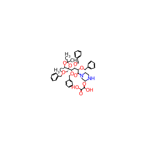 C[C@H]1OC(C)(C)O[C@@]1(COCc1ccccc1)[C@@H](OCc1ccccc1)[C@H](OCc1ccccc1)[C@@H](OCc1ccccc1)C(=O)N1CCNCC1.O=C(O)C(=O)O